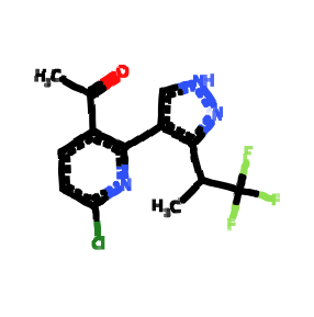 CC(=O)c1ccc(Cl)nc1-c1c[nH]nc1C(C)C(F)(F)F